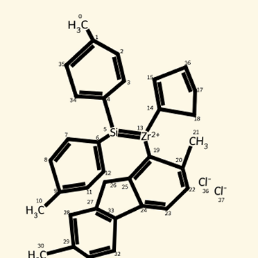 Cc1ccc([Si](c2ccc(C)cc2)=[Zr+2]([C]2=CC=CC2)[c]2c(C)ccc3c2Cc2cc(C)ccc2-3)cc1.[Cl-].[Cl-]